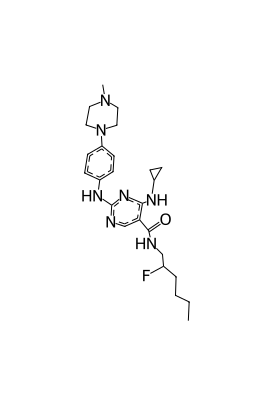 CCCCC(F)CNC(=O)c1cnc(Nc2ccc(N3CCN(C)CC3)cc2)nc1NC1CC1